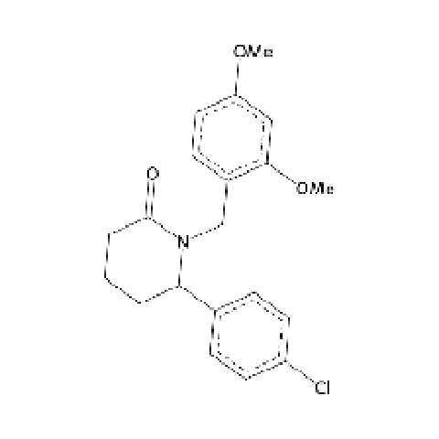 COc1ccc(CN2C(=O)CCCC2c2ccc(Cl)cc2)c(OC)c1